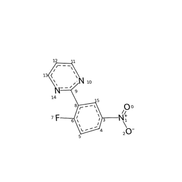 O=[N+]([O-])c1ccc(F)c(-c2ncccn2)c1